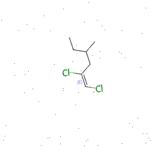 CCC(C)C/C(Cl)=C\Cl